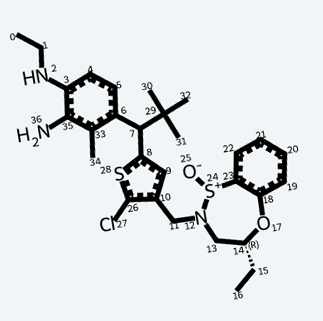 CCNc1ccc(C(c2cc(CN3C[C@@H](CC)Oc4ccccc4[S+]3[O-])c(Cl)s2)C(C)(C)C)c(C)c1N